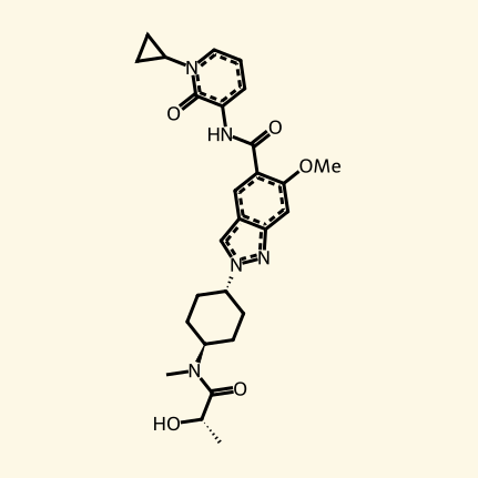 COc1cc2nn([C@H]3CC[C@H](N(C)C(=O)[C@H](C)O)CC3)cc2cc1C(=O)Nc1cccn(C2CC2)c1=O